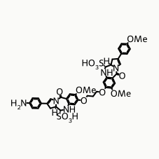 COc1ccc(C2=CN3C(=O)c4cc(OC)c(OCCCOc5cc6c(cc5OC)C(=O)N5C=C(c7ccc(N)cc7)C[C@H]5[C@H](S(=O)(=O)O)N6)cc4N[C@@H](S(=O)(=O)O)[C@@H]3C2)cc1